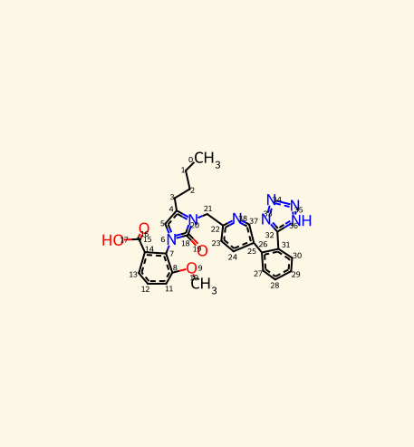 CCCCc1cn(-c2c(OC)cccc2C(=O)O)c(=O)n1Cc1ccc(-c2ccccc2-c2nnn[nH]2)cn1